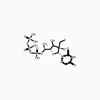 C[C@H](OP(=O)(O)OP(=O)(O)OP(=O)(O)O)[C@H]1O[C@@H](n2ncc(=O)[nH]c2=O)[C@@](Cl)(CF)C1O